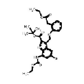 CCOC(=O)Cc1ccccc1OCc1c(C(=O)OC(C)(C)C)oc2c(NC(=O)OCC)cc(Br)cc12